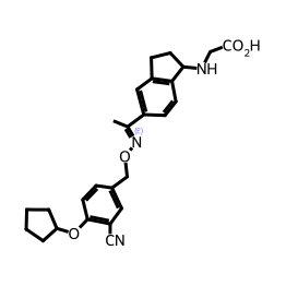 C/C(=N\OCc1ccc(OC2CCCC2)c(C#N)c1)c1ccc2c(c1)CCC2NCC(=O)O